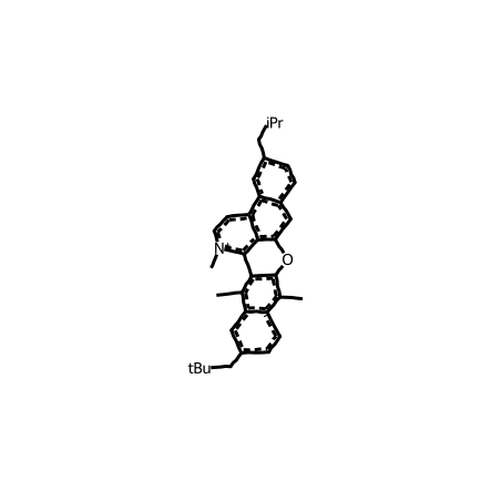 Cc1c2c(c(C)c3cc(CC(C)(C)C)ccc13)-c1c3c(cc4ccc(CC(C)C)cc4c3cc[n+]1C)O2